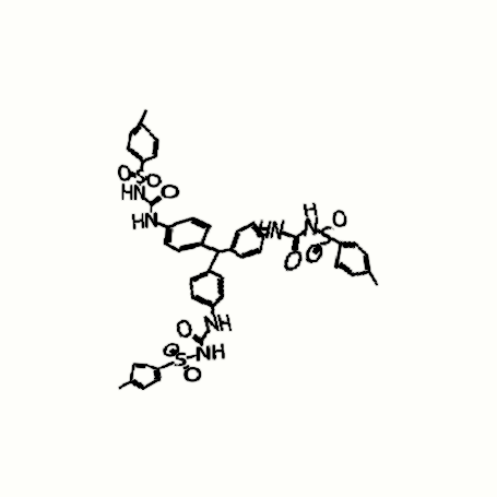 Cc1ccc(S(=O)(=O)NC(=O)Nc2ccc(C(c3ccc(NC(=O)NS(=O)(=O)c4ccc(C)cc4)cc3)c3ccc(NC(=O)NS(=O)(=O)c4ccc(C)cc4)cc3)cc2)cc1